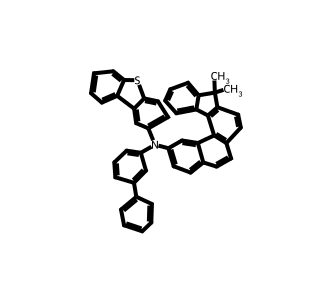 CC1(C)c2ccccc2-c2c1ccc1ccc3ccc(N(c4cccc(-c5ccccc5)c4)c4ccc5sc6ccccc6c5c4)cc3c21